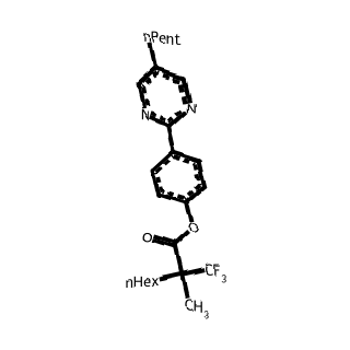 CCCCCCC(C)(C(=O)Oc1ccc(-c2ncc(CCCCC)cn2)cc1)C(F)(F)F